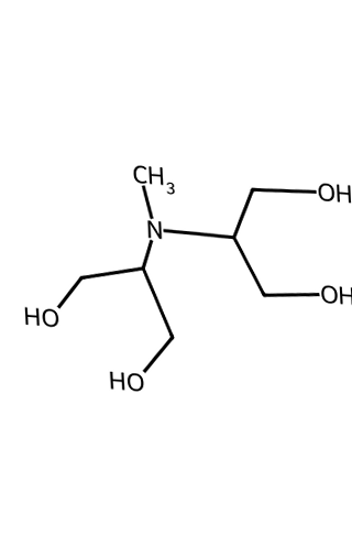 CN(C(CO)CO)C(CO)CO